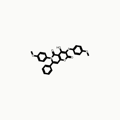 COc1ccc(Sc2c(O)c3c(=O)n(-c4ccc(OC)cc4)c(-c4ccccc4)cc3oc2=O)cc1